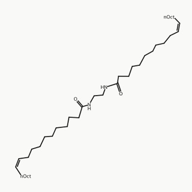 CCCCCCCC/C=C\CCCCCCCCCC(=O)NCCNC(=O)CCCCCCCCC/C=C\CCCCCCCC